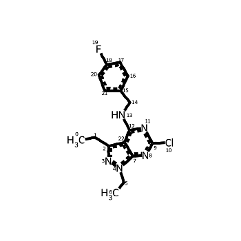 CCc1nn(CC)c2nc(Cl)nc(NCc3ccc(F)cc3)c12